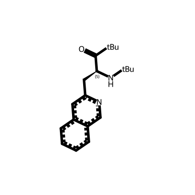 CC(C)(C)N[C@@H](Cc1cc2ccccc2cn1)C(=O)C(C)(C)C